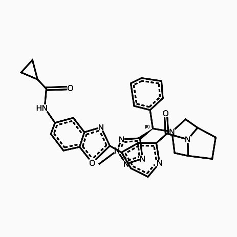 Cn1nnc([C@@H](c2ccccc2)N2CC3CCC(C2)N3C(=O)c2cc(-c3nc4cc(NC(=O)C5CC5)ccc4o3)ccn2)n1